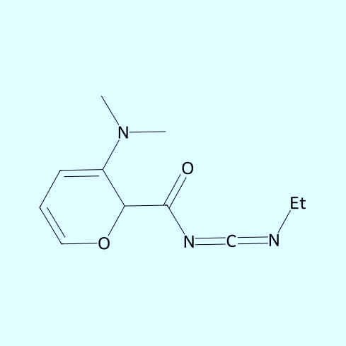 CCN=C=NC(=O)C1OC=CC=C1N(C)C